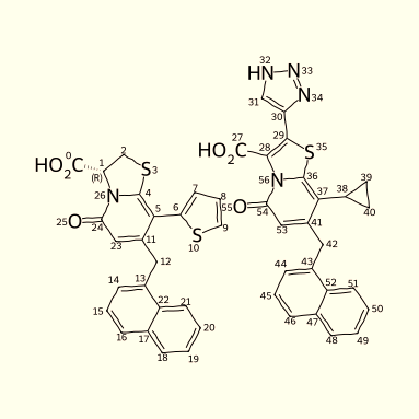 O=C(O)[C@@H]1CSc2c(-c3cccs3)c(Cc3cccc4ccccc34)cc(=O)n21.O=C(O)c1c(-c2c[nH]nn2)sc2c(C3CC3)c(Cc3cccc4ccccc34)cc(=O)n12